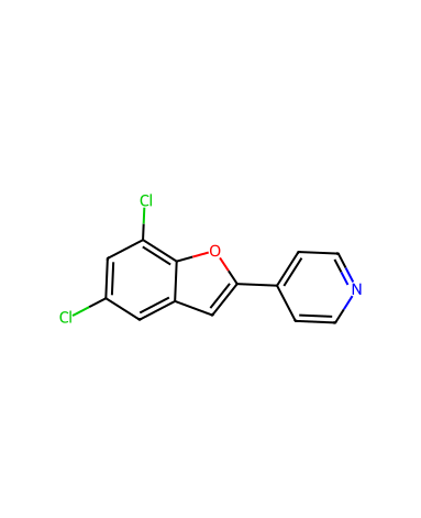 Clc1cc(Cl)c2oc(-c3ccncc3)cc2c1